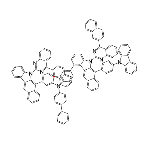 c1ccc(-c2ccc(-n3c4ccc(-c5cccc6c5c5cc7ccccc7c(-c7ccc(-n8c9ccccc9c9ccccc98)cc7)c5n6-c5nc(-c6ccc7ccccc7c6)c6ccccc6n5)cc4c4ccc(-c5c6ccccc6cc6c7ccccc7n(-c7nc(-c8ccc9ccccc9c8)c8ccccc8n7)c56)cc43)cc2)cc1